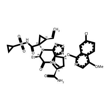 C=C[C@@H]1C[C@@]1(C(=O)NS(=O)(=O)C1CC1)N(c1nsnc1OCC)[C@H](CC)C(=O)N1C[C@H](Oc2ncc(OC)c3ccc(Cl)cc23)C[C@H]1C(N)=O